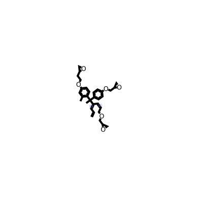 C=C/C=C(\C=C/COCC1CO1)C(C)(c1ccc(OCC2CO2)cc1)c1ccc(OCCC2CO2)cc1C